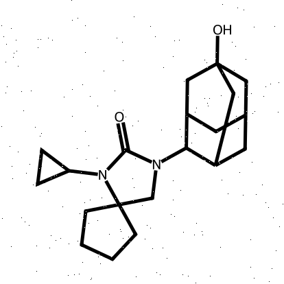 O=C1N(C2C3CC4CC2CC(O)(C4)C3)CC2(CCCC2)N1C1CC1